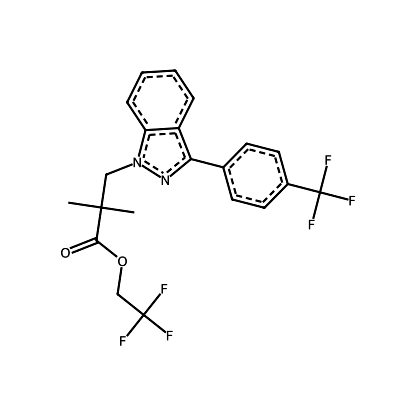 CC(C)(Cn1nc(-c2ccc(C(F)(F)F)cc2)c2ccccc21)C(=O)OCC(F)(F)F